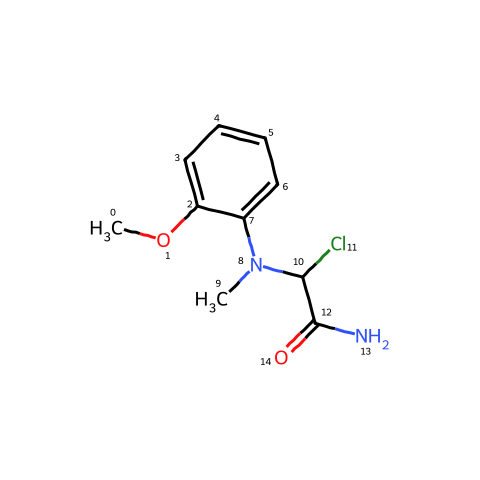 COc1ccccc1N(C)C(Cl)C(N)=O